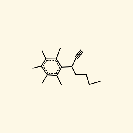 [C]#CC(CCCC)c1c(C)c(C)c(C)c(C)c1C